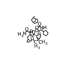 CC1(C)C2CN(C(=O)[C@@H](NC(=O)O[C@H]3CC4CC5C[C@@]5(C4)C3)C3CCCCC3)[C@H](C(=O)NC(CC3CCC3)C(=O)C(N)=O)C21